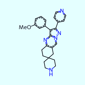 COc1cccc(-c2c(-c3ccncc3)nn3cc4c(nc23)CCC2(CCNCC2)C4)c1